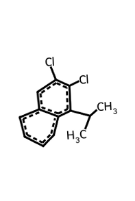 CC(C)c1c(Cl)c(Cl)cc2ccccc12